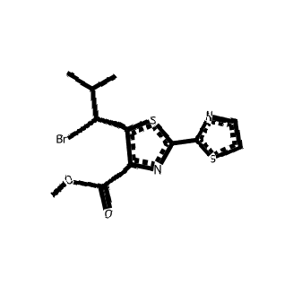 COC(=O)c1nc(-c2nccs2)sc1C(Br)C(C)C